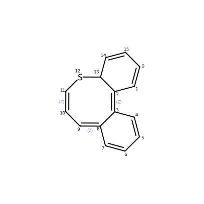 C1=C\C2=c3/cccc/c3=C/C=C\SC2C=C1